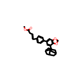 COC(=O)C/C=C/c1ccc(-c2cc3c(c(C45CC6CC(CC(C6)C4)C5)c2)OCO3)cc1